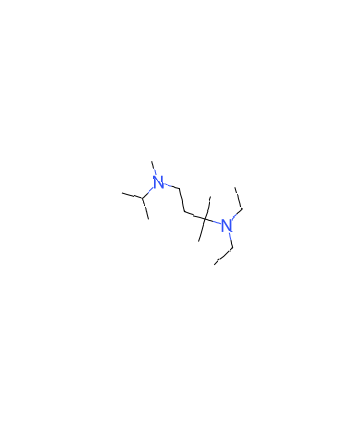 CCN(CC)C(C)(C)CCN(C)C(C)C